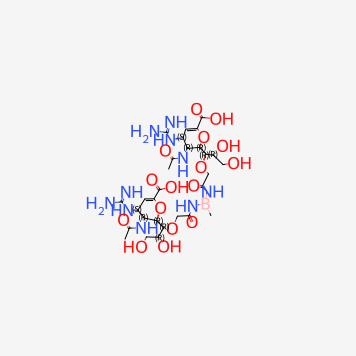 CB(NC(=O)CO[C@@H]([C@@H]1OC(C(=O)O)=C[C@H](NC(=N)N)[C@H]1NC(C)=O)[C@H](O)CO)NC(=O)CO[C@@H]([C@@H]1OC(C(=O)O)=C[C@H](NC(=N)N)[C@H]1NC(C)=O)[C@H](O)CO